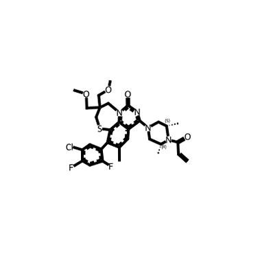 C=CC(=O)N1[C@H](C)CN(c2nc(=O)n3c4c(c(-c5cc(Cl)c(F)cc5F)c(C)cc24)SCC(COC)(COC)C3)C[C@@H]1C